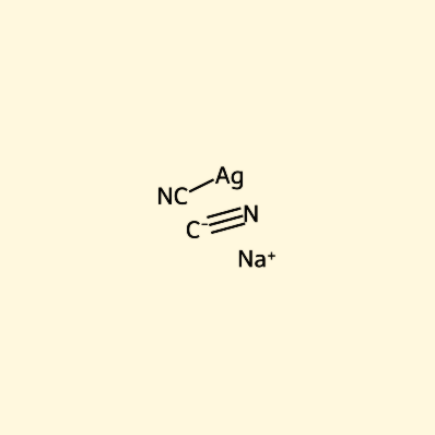 N#[C][Ag].[C-]#N.[Na+]